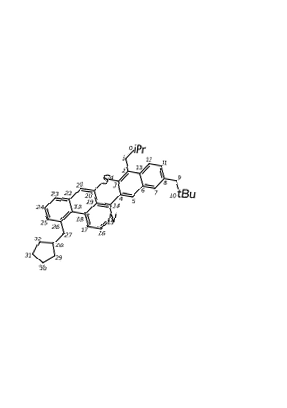 CC(C)Cc1c2c(cc3cc(CC(C)(C)C)ccc13)-c1nccc3c1c(cc1cccc(CC4CCCC4)c13)S2